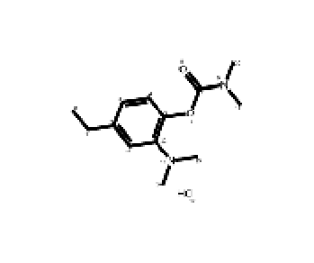 CCc1ccc(OC(=O)N(C)C)c(N(C)C)c1.Cl